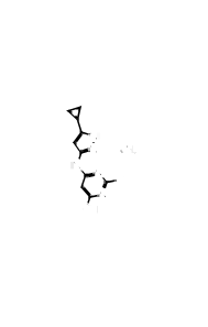 Cc1cc(Nc2cc(C3CC3)[nH]n2)nc(Cl)n1.O=C([O-])O.[Na+]